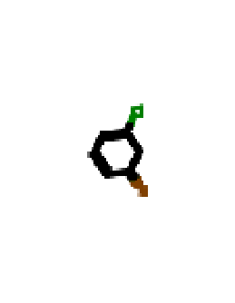 S=C1C=[C]C=C(Cl)C1